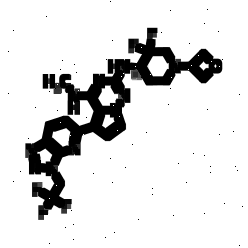 CNc1nc(N[C@@H]2CCN(C3COC3)CC2(F)F)nn2ccc(-c3ccc4nnn(CC(F)(F)F)c4n3)c12